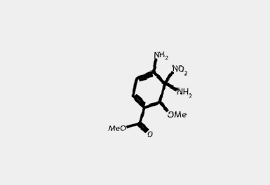 COC(=O)C1=CC=C(N)C(N)([N+](=O)[O-])C1OC